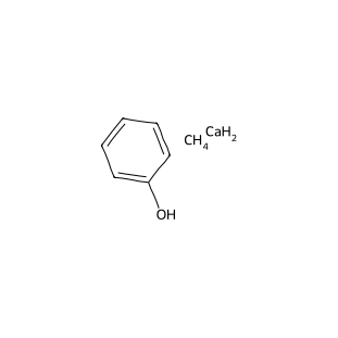 C.Oc1ccccc1.[CaH2]